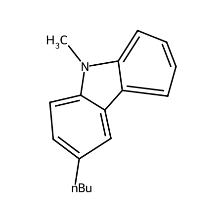 CCCCc1ccc2c(c1)c1ccccc1n2C